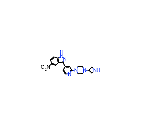 O=[N+]([O-])c1ccc2[nH]nc(-c3ccnc(N4CCN(C5CNC5)CC4)c3)c2c1